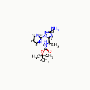 CC(NC(=O)OC(C)(C)C)c1nc(N)nn1-c1ncccn1